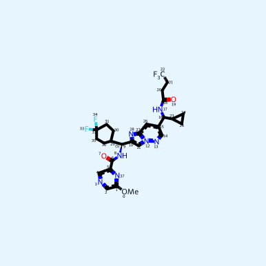 COc1cncc(C(=O)N[C@H](c2cn3ncc(C(NC(=O)CCC(F)(F)F)C4CC4)cc3n2)C2CCC(F)(F)CC2)n1